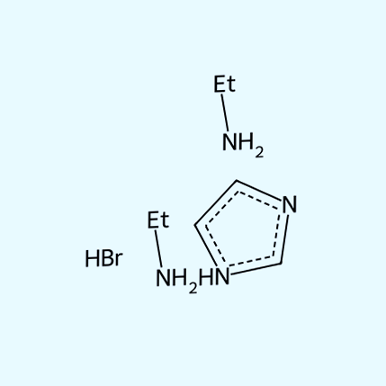 Br.CCN.CCN.c1c[nH]cn1